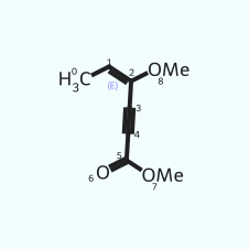 C/C=C(\C#CC(=O)OC)OC